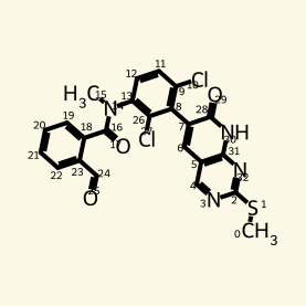 CSc1ncc2cc(-c3c(Cl)ccc(N(C)C(=O)c4ccccc4C=O)c3Cl)c(=O)[nH]c2n1